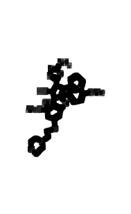 COc1ccc(C23OC4=C(C2C(O)C(c2nnc(N)o2)C3c2ccccc2)C(O)(OC)CC(OCCN2CCOCC2)=C4)cc1